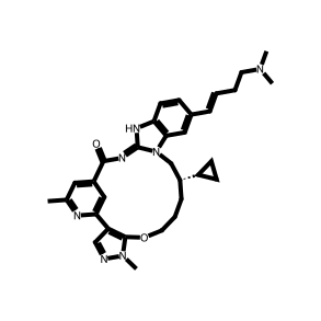 Cc1cc2cc(n1)-c1cnn(C)c1OCCC[C@@H](C1CC1)CN1/C(=N/C2=O)Nc2ccc(/C=C/CCN(C)C)cc21